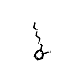 [Li][c]1ccccc1COCCOCC